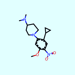 COc1cc(N2CCC(N(C)C)CC2)c(C2CC2)cc1[N+](=O)[O-]